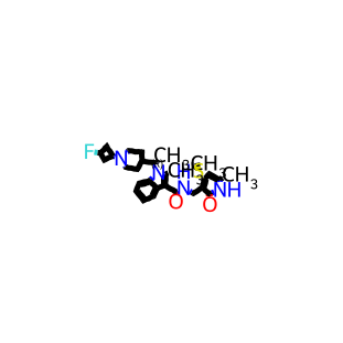 CSc1cc(C)[nH]c(=O)c1CNC(=O)c1c(C)n([C@H](C)C2CCN(C3CC(F)C3)CC2)c2ccccc12